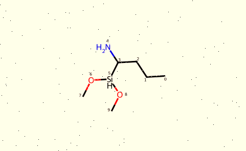 CCCC(N)[SiH](OC)OC